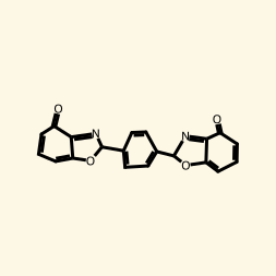 O=C1C=CC=C2OC(c3ccc(C4N=C5C(=O)C=CC=C5O4)cc3)N=C12